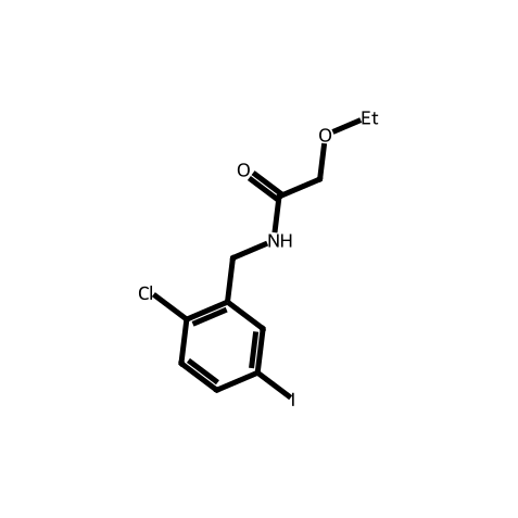 CCOCC(=O)NCc1cc(I)ccc1Cl